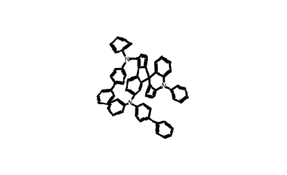 c1ccc(-c2ccc(N(c3ccccc3)c3ccc4c(c3)C3(c5ccccc5N(c5ccccc5)c5ccccc53)c3cccc(N(c5ccccc5)c5ccc(-c6ccccc6)cc5)c3-4)cc2)cc1